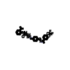 C/C(=N/Oc1ccc(/C=N/SNC(=O)Nc2ccccc2C(C)C)cc1)c1ccc(OC(F)(F)F)cc1